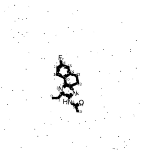 CCc1nc2c(nc1NC(C)=O)CCc1cc(F)ccc1-2